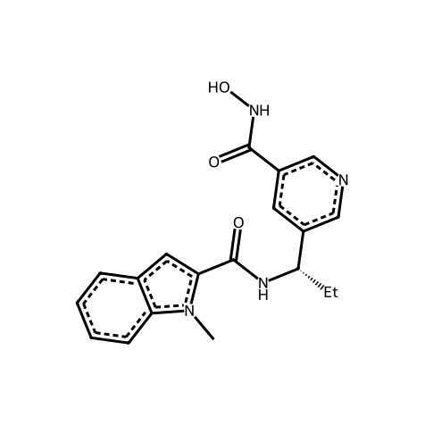 CC[C@H](NC(=O)c1cc2ccccc2n1C)c1cncc(C(=O)NO)c1